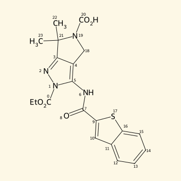 CCOC(=O)n1nc2c(c1NC(=O)c1cc3ccccc3s1)CN(C(=O)O)C2(C)C